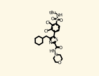 CC(C)(C)NS(=O)(=O)c1ccc(-c2sc(C(=O)NN3CCOCC3)nc2CC2CCCCC2)c(Cl)c1Cl